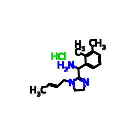 C/C=C/CN1CCN=C1C(N)c1cccc(C)c1C.Cl